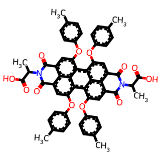 Cc1ccc(Oc2cc3c4c(cc(Oc5ccc(C)cc5)c5c6c(Oc7ccc(C)cc7)cc7c8c(cc(Oc9ccc(C)cc9)c(c2c45)c86)C(=O)N(C(C)C(=O)O)C7=O)C(=O)N(C(C)C(=O)O)C3=O)cc1